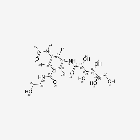 CC(=O)N(C)c1c(I)c(NC(=O)[C@H](O)[C@@H](O)[C@H](O)[C@H](O)CO)c(I)c(C(=O)NCCO)c1I